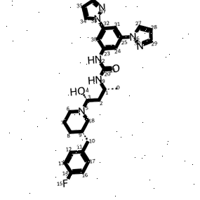 C[C@H](C[C@@H](O)N1CCC[C@@H](Cc2ccc(F)cc2)C1)NC(=O)Nc1cc(-n2cccn2)cc(-n2cccn2)c1